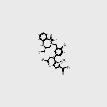 CC[C@@H]1CN(Cc2cc(C(CC(=O)O)c3ccc(C(C)=O)n3C)ccc2C)S(=O)(=O)c2ccccc2O1